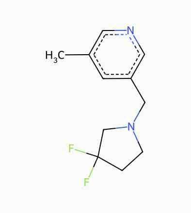 Cc1cncc(CN2CCC(F)(F)C2)c1